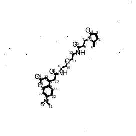 C=C1C=CC(=O)N1CCC(=O)NCCOCCNC(=O)Cc1cc(=O)oc2cc(N(C)C)ccc12